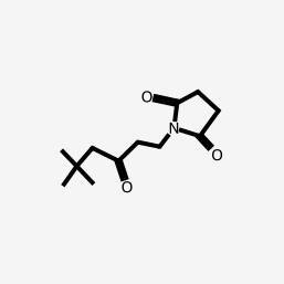 CC(C)(C)CC(=O)CCN1C(=O)CCC1=O